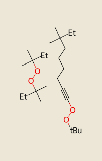 CCC(C)(C)CCCCC#COOC(C)(C)C.CCC(C)(C)OOC(C)(C)CC